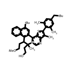 COCCC1c2c(cc(C(C)(C)C)c3ccccc23)-c2c3sc(-c4c(C)cc(CC(C)(C)C)cc4C)c(C)c3nc[n+]2C1(C)CCO